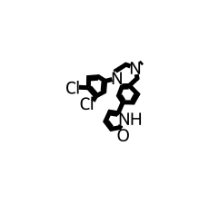 CN1CCN(c2ccc(Cl)c(Cl)c2)c2cc(-c3cccc(=O)[nH]3)ccc2C1